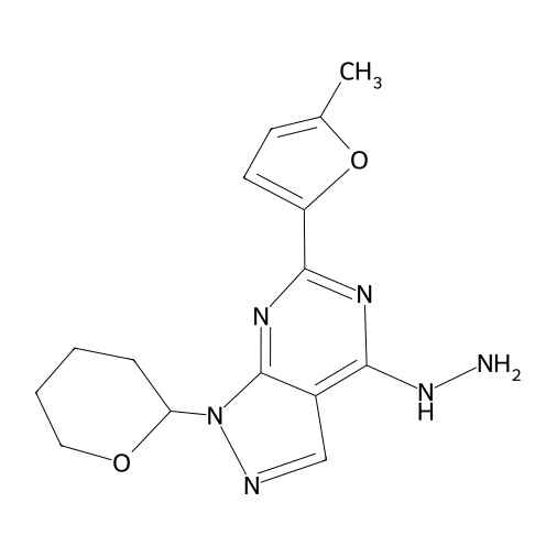 Cc1ccc(-c2nc(NN)c3cnn(C4CCCCO4)c3n2)o1